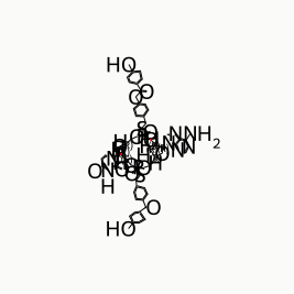 Nc1ncnc2c1ncn2[C@@H]1O[C@@H]2COP(=O)(SCc3ccc(C(=O)c4ccc(O)cc4)cc3)O[C@@H]3[C@H](F)[C@@H](COP(=O)(SCc4ccc(OC(=O)c5ccc(O)cc5)cc4)O[C@@H]1[C@@H]2F)O[C@H]3n1ccc(=O)[nH]c1=O